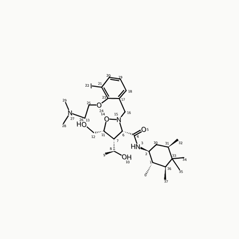 C[C@@H]1[C@@H](NC(=O)[C@@H]2[C@H]([C@H](C)O)[C@H](CO)ON2Cc2cccc(I)c2OCCN(C)C)C[C@@H](C)C(C)(C)[C@H]1C